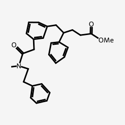 COC(=O)CCC(Cc1cccc(CC(=O)N(C)CCc2ccccc2)c1)c1ccccc1